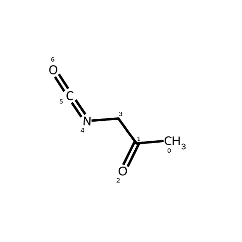 CC(=O)CN=C=O